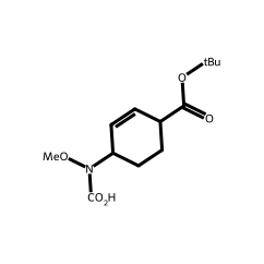 CON(C(=O)O)C1C=CC(C(=O)OC(C)(C)C)CC1